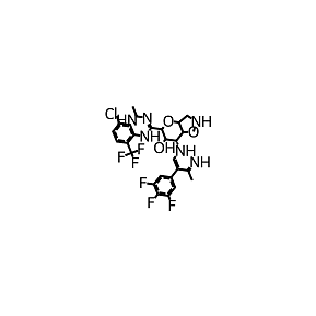 CC(=N)/N=C(\Nc1cc(Cl)ccc1C(F)(F)F)C1OC2CNOC2[C@@H](N/C=C(\C(C)=N)c2cc(F)c(F)c(F)c2)C1O